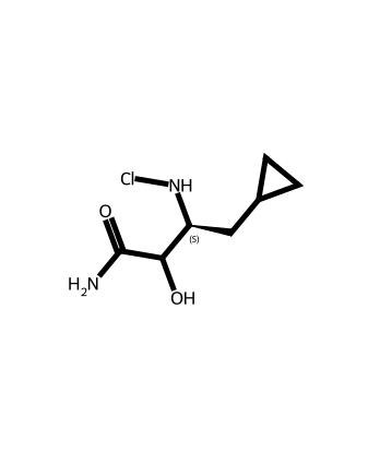 NC(=O)C(O)[C@H](CC1CC1)NCl